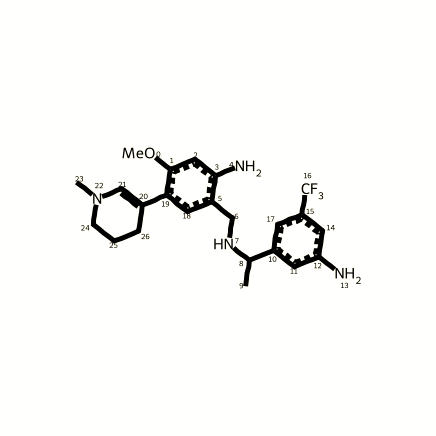 COc1cc(N)c(CNC(C)c2cc(N)cc(C(F)(F)F)c2)cc1C1=CN(C)CCC1